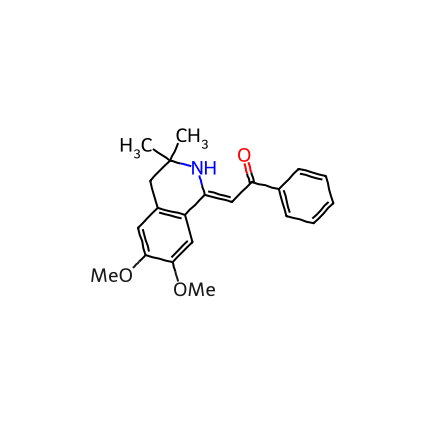 COc1cc2c(cc1OC)/C(=C/C(=O)c1ccccc1)NC(C)(C)C2